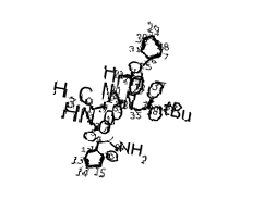 C[C@H](NC(=O)OC(CC(N)=O)c1ccccc1)C(=O)N[C@@H](CC(=O)OCc1ccccc1)C(=O)NCC(=O)OC(C)(C)C